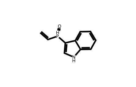 C=C[PH](=O)c1c[nH]c2ccccc12